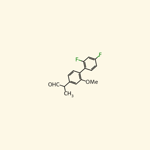 COc1cc(C(C)C=O)ccc1-c1ccc(F)cc1F